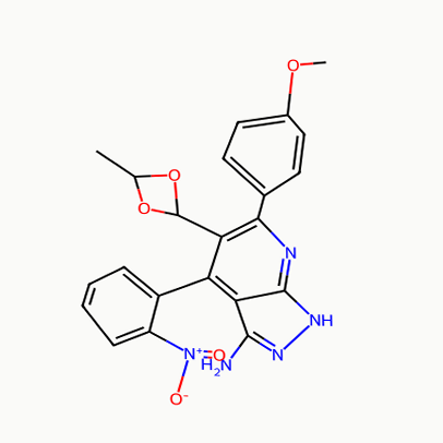 COc1ccc(-c2nc3[nH]nc(N)c3c(-c3ccccc3[N+](=O)[O-])c2C2OC(C)O2)cc1